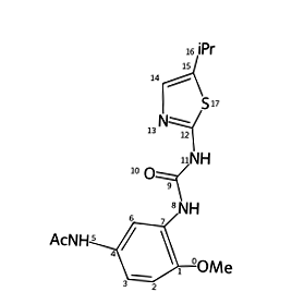 COc1ccc(NC(C)=O)cc1NC(=O)Nc1ncc(C(C)C)s1